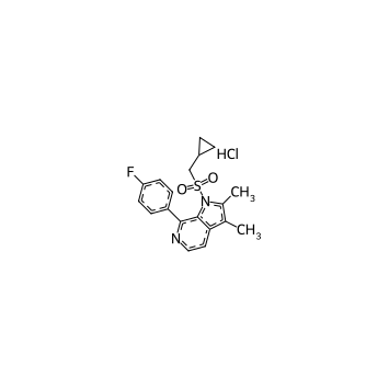 Cc1c(C)n(S(=O)(=O)CC2CC2)c2c(-c3ccc(F)cc3)nccc12.Cl